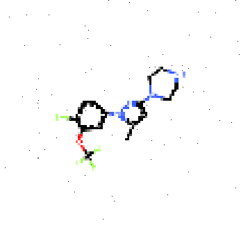 Cc1cc(N2CCNCC2)nn1-c1ccc(F)c(OC(F)(F)F)c1